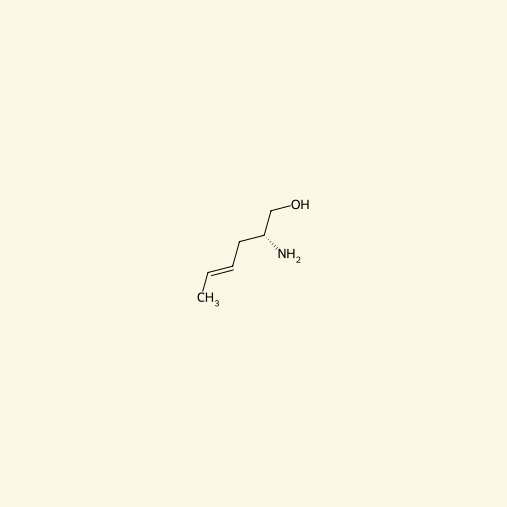 C/C=C/C[C@@H](N)CO